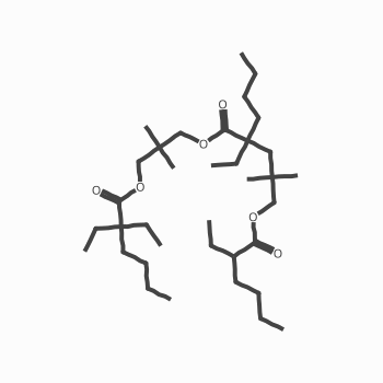 CCCCC(CC)C(=O)OCC(C)(C)CC(CC)(CCCC)C(=O)OCC(C)(C)COC(=O)C(CC)(CC)CCCC